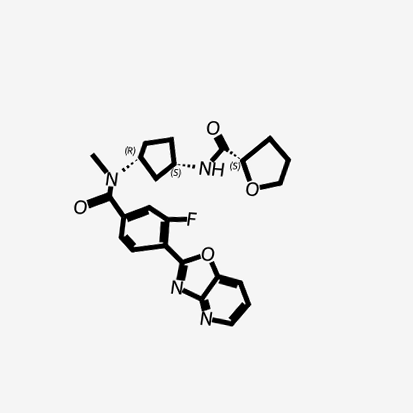 CN(C(=O)c1ccc(-c2nc3ncccc3o2)c(F)c1)[C@@H]1CC[C@H](NC(=O)[C@@H]2CCCO2)C1